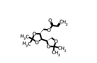 C=CC(=O)OC[C@H]1OC(C)(C)O[C@@H]1[C@@H]1COC(C)(C)O1